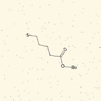 CCC(C)OC(=O)CCCC[S]